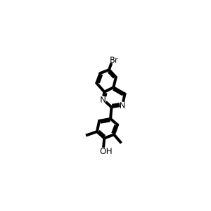 Cc1cc(-c2ncc3cc(Br)ccc3n2)cc(C)c1O